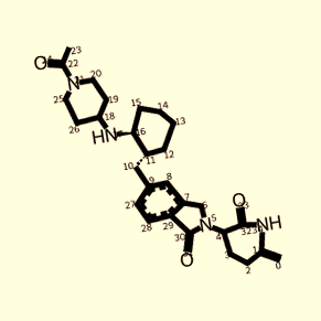 C=C1CCC(N2Cc3cc(C[C@H]4CCCC[C@@H]4NC4CCN(C(C)=O)CC4)ccc3C2=O)C(=O)N1